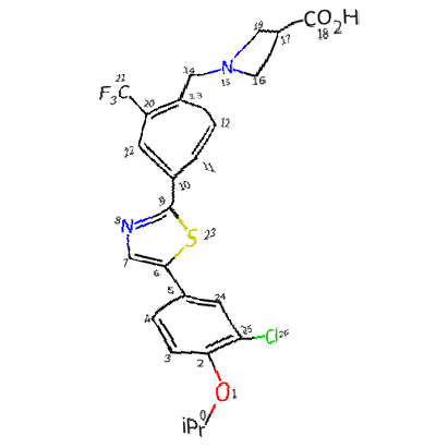 CC(C)Oc1ccc(-c2cnc(-c3ccc(CN4CC(C(=O)O)C4)c(C(F)(F)F)c3)s2)cc1Cl